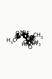 CC[C@@H]1CN(c2noc3c(F)c4c(cc23)CC2(C(=O)NC(=O)NC2=O)[C@H]2[C@H](C)O[C@H](C)CN42)C(=O)O1